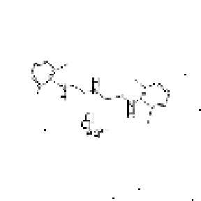 Cc1cccc(C)c1NCCNCCNc1c(C)cccc1C.[Ag+2].[Cl-].[Cl-]